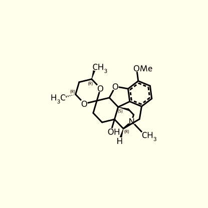 COc1ccc2c3c1OC1C4(CCC5(O)[C@@H](C2)N(C)CC[C@]315)O[C@H](C)C[C@@H](C)O4